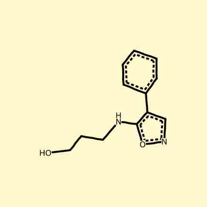 OCCCNc1oncc1-c1ccccc1